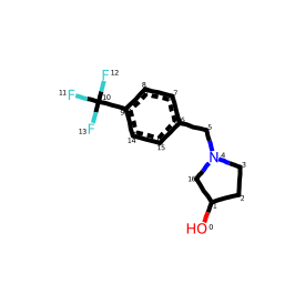 OC1CCN(Cc2ccc(C(F)(F)F)cc2)C1